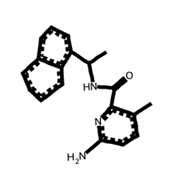 Cc1ccc(N)nc1C(=O)NC(C)c1cccc2ccccc12